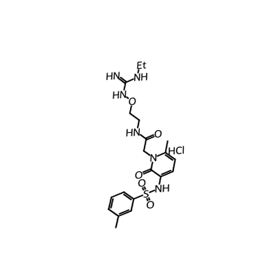 CCNC(=N)NOCCNC(=O)Cn1c(C)ccc(NS(=O)(=O)c2cccc(C)c2)c1=O.Cl